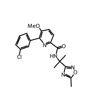 COc1ccc(C(=O)NC(C)(C)c2noc(C)n2)nc1-c1cccc(Cl)c1